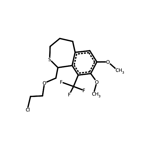 COc1cc2c(c(C(F)(F)F)c1OC)C(COCCCl)SCCC2